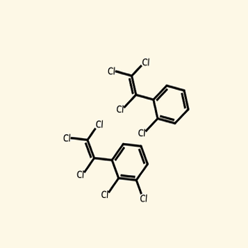 ClC(Cl)=C(Cl)c1cccc(Cl)c1Cl.ClC(Cl)=C(Cl)c1ccccc1Cl